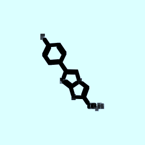 CCOC(=O)c1cn2cc(-c3ccc(F)cc3)nc2s1